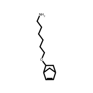 NCCCCCCOC1CC2C=CC1C2